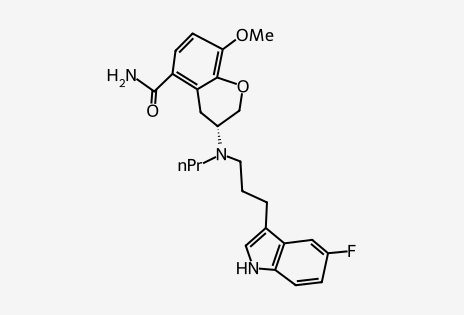 CCCN(CCCc1c[nH]c2ccc(F)cc12)[C@H]1COc2c(OC)ccc(C(N)=O)c2C1